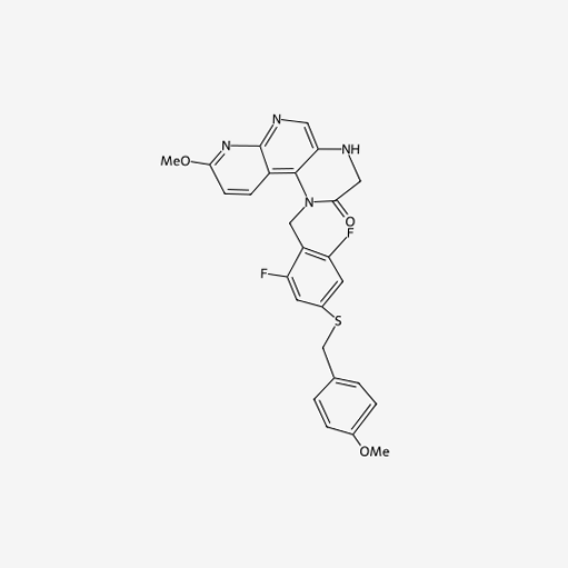 COc1ccc(CSc2cc(F)c(CN3C(=O)CNc4cnc5nc(OC)ccc5c43)c(F)c2)cc1